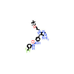 CC(C)(C)[Si](C)(C)OCCCn1nc(-c2ccc(NC(=O)Nc3cccc(C(F)(F)F)c3)cc2)c2c(N)ncnc21